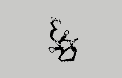 Cn1c(=O)n(CCCS)c(=O)c2ccccc21